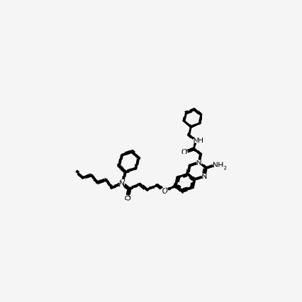 CCCCCCN(C(=O)CCCOc1ccc2c(c1)CN(CC(=O)NCC1CCCCC1)C(N)=N2)C1CCCCC1